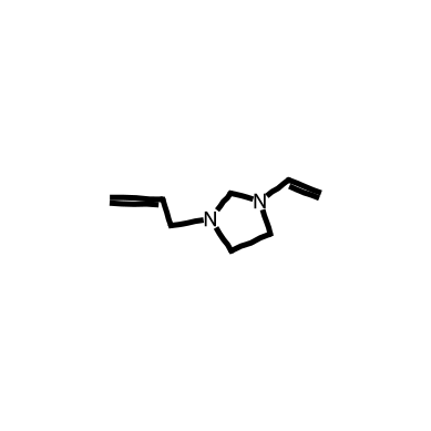 C=CCN1CCN(C=C)C1